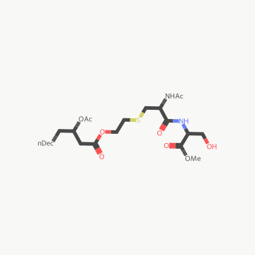 CCCCCCCCCCCC(CC(=O)OCCSCC(NC(C)=O)C(=O)NC(CO)C(=O)OC)OC(C)=O